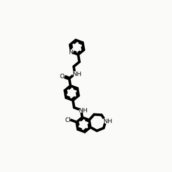 O=C(NCCc1ccccn1)c1ccc(CNc2c(Cl)ccc3c2CCNCC3)cc1